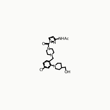 CC(=O)Nc1ccn(C(=O)N2CCN(Cc3ccc(Cl)cc3N3CCC(CO)CC3)CC2)n1